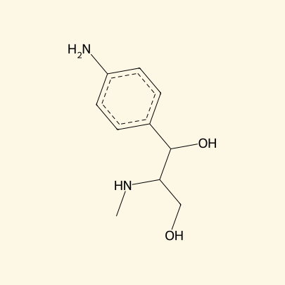 CNC(CO)C(O)c1ccc(N)cc1